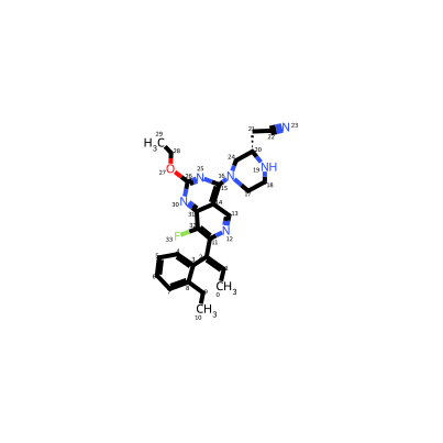 C/C=C(\c1ccccc1CC)c1ncc2c(N3CCN[C@@H](CC#N)C3)nc(OCC)nc2c1F